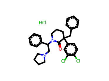 Cl.O=C1N(C(CN2CCCC2)c2ccccc2)CCCC1(Cc1ccccc1)c1ccc(Cl)c(Cl)c1